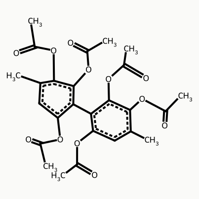 CC(=O)Oc1cc(C)c(OC(C)=O)c(OC(C)=O)c1-c1c(OC(C)=O)cc(C)c(OC(C)=O)c1OC(C)=O